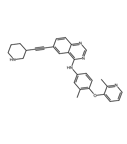 Cc1cc(Nc2ncnc3ccc(C#CC4CCCNC4)cc23)ccc1Oc1cccnc1C